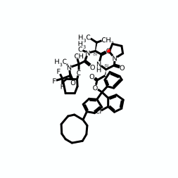 CC(C)[C@@H](C(=O)N[C@@H](CC(=O)OC(c1ccccc1)(c1ccc(C2CCCCCCCCC2)cc1)c1ccccc1Cl)C(=O)N1CCCC1)N(C)C(=O)C(C)(CC1CCCCC1)N(C)C(=O)C(F)(F)F